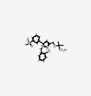 CC(C)(OCc1cc(-c2cccc(S(C)(=O)=O)c2)n(Cc2ccccc2Cl)n1)C(=O)O